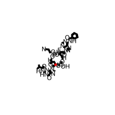 CC(C)C(=O)Nc1nc2c(ncn2[C@@H]2O[C@@H]3COP(OCCC#N)O[C@H]4[C@H](F)[C@H](n5nnc6c(NC(=O)c7ccccc7)ncnc65)O[C@@H]4COP(O)O[C@H]2C3)c(=O)[nH]1